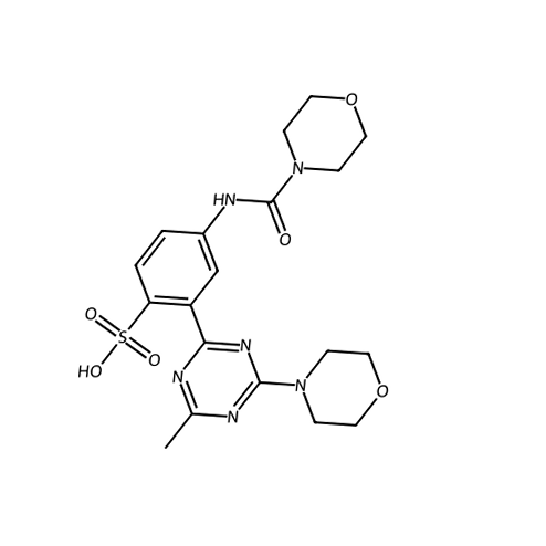 Cc1nc(-c2cc(NC(=O)N3CCOCC3)ccc2S(=O)(=O)O)nc(N2CCOCC2)n1